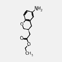 CCOC(=O)C[C@H]1COc2ccc(N)cc2C1